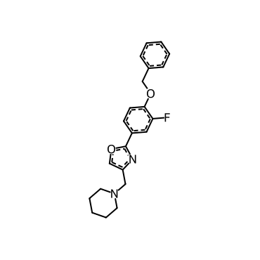 Fc1cc(-c2nc(CN3CCCCC3)co2)ccc1OCc1ccccc1